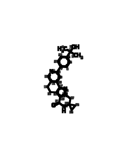 CC(C)(O)c1ccc(-c2cc3c(cn2)CCc2c-3nn3c2C(=O)NC2(CC2)C3)cc1